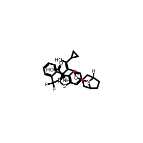 N=C(/C(COC1CC2CC[C@@H](C1)N2c1ccc2c(C(=O)O)nsc2c1)=C(\O)C1CC1)c1ccccc1C(F)(F)F